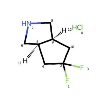 Cl.FC1(F)C[C@H]2CNC[C@H]2C1